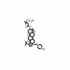 C=C(C)[C@@H]1CC[C@]2(CCN3CC[S+]([O-])CC3)CC[C@]3(C)[C@H](CC[C@@H]4[C@@]5(C)CC[C@H](OC(=O)CC(C)(C)C(=O)O)C(C)(C)[C@@H]5CC[C@]43C)[C@@H]12